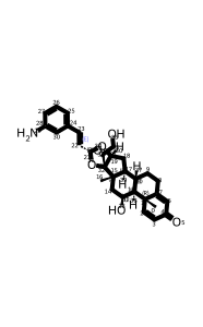 C[C@]12C=CC(=O)C=C1CC[C@@H]1[C@@H]2[C@@H](O)C[C@@]2(C)[C@H]1C[C@H]1O[C@@H](/C=C/c3cccc(N)c3)O[C@]12C(=O)CO